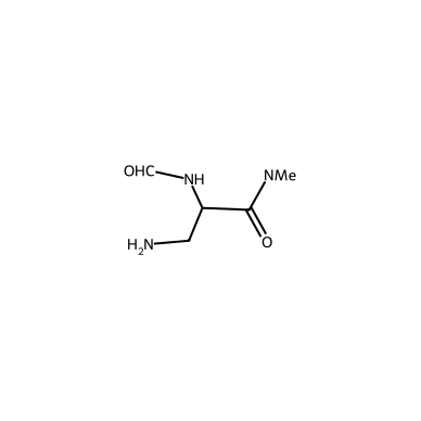 CNC(=O)C(CN)NC=O